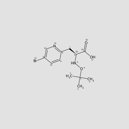 CC(C)(C)ON[C@@H](Cc1ccc(Br)cn1)C(=O)O